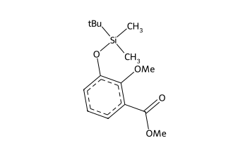 COC(=O)c1cccc(O[Si](C)(C)C(C)(C)C)c1OC